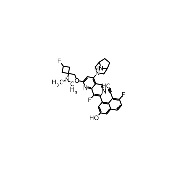 C#Cc1c(F)ccc2cc(O)cc(-c3ncc4c(N5CC6CCC(C5)N6)cc(OCC5(N(C)C)CC(F)C5)nc4c3F)c12